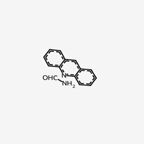 NC=O.c1ccc2nc3ccccc3cc2c1